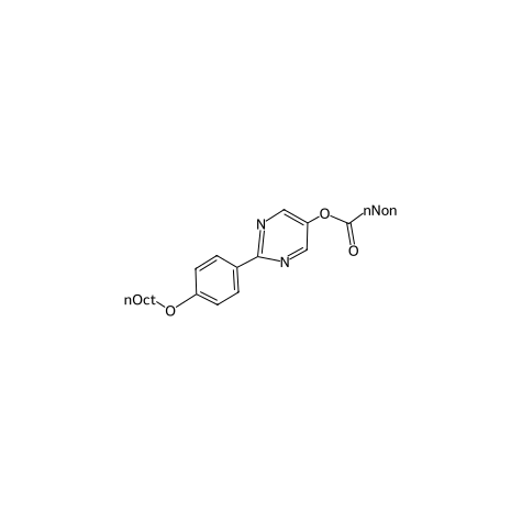 CCCCCCCCCC(=O)Oc1cnc(-c2ccc(OCCCCCCCC)cc2)nc1